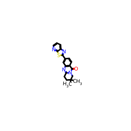 CC1(C)CCc2nc3cc(-c4nc5cccnc5s4)ccc3c(=O)n2C1